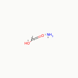 N.[O]=[Zn][OH]